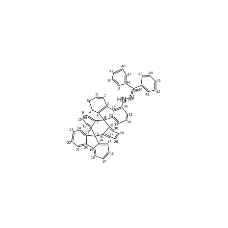 C1=CC2=C(CC1)C1(c3ccccc3C3(c4ccccc4-c4ccccc43)c3ccccc31)c1cccc(NN=C(c3ccccc3)c3ccccc3)c12